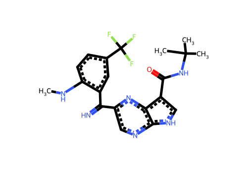 CNc1ccc(C(F)(F)F)cc1C(=N)c1cnc2[nH]cc(C(=O)NC(C)(C)C)c2n1